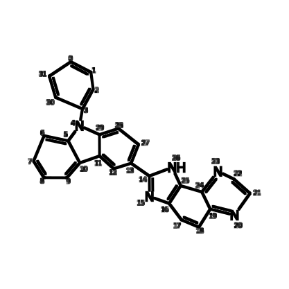 c1ccc(-n2c3ccccc3c3cc(-c4nc5ccc6nccnc6c5[nH]4)ccc32)cc1